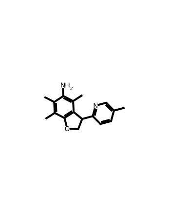 Cc1ccc(C2COc3c(C)c(C)c(N)c(C)c32)nc1